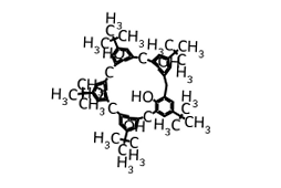 CC(C)(C)c1cc2c(O)c(c1)Cc1cc(C(C)(C)C)cc(c1O)Cc1cc(C(C)(C)C)cc(c1O)Cc1cc(C(C)(C)C)cc(c1O)Cc1cc(C(C)(C)C)cc(c1O)C2